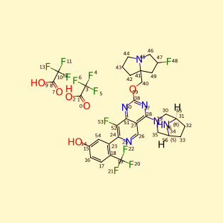 O=C(O)C(F)(F)F.O=C(O)C(F)(F)F.Oc1ccc(C(F)(F)F)c(-c2ncc3c(N4C[C@H]5CC[C@@H](C4)N5)nc(OCC45CCCN4CC(F)C5)nc3c2F)c1